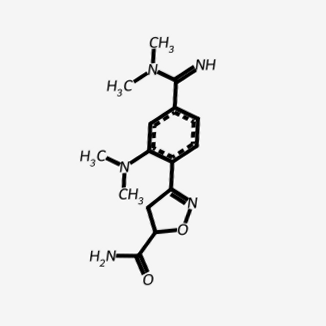 CN(C)C(=N)c1ccc(C2=NOC(C(N)=O)C2)c(N(C)C)c1